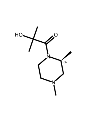 C[C@H]1CN(C)CCN1C(=O)C(C)(C)O